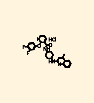 Cc1cc(NC2CCC(NC(=O)c3cccnc3Oc3ccc(F)c(F)c3)CC2)nc2ccccc12.Cl